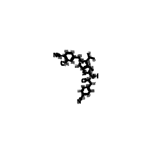 CC(C)[C@H]1c2nc(NC(=O)Cc3ccc(C#N)cc3)sc2CN1Cc1ccc(C#N)c(Cl)c1